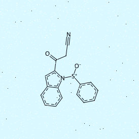 N#CCC(=O)c1cc2ccccc2n1[S+]([O-])c1ccccc1